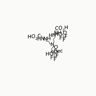 CCCCCCCCCCCC(=O)N(CCCNNCC(=O)O)CCCNNCC(=O)O.O=C(O)C(F)(F)F.O=C(O)C(F)(F)F